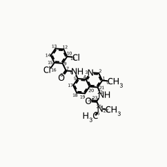 Cc1cnc2c(NC(=O)c3c(Cl)cccc3Cl)cccc2c1NC(=O)N(C)C